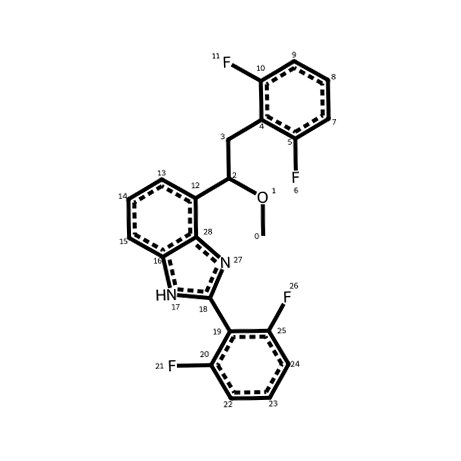 COC(Cc1c(F)cccc1F)c1cccc2[nH]c(-c3c(F)cccc3F)nc12